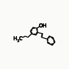 CCCc1ccc(O)c(C=Cc2ccccc2)c1